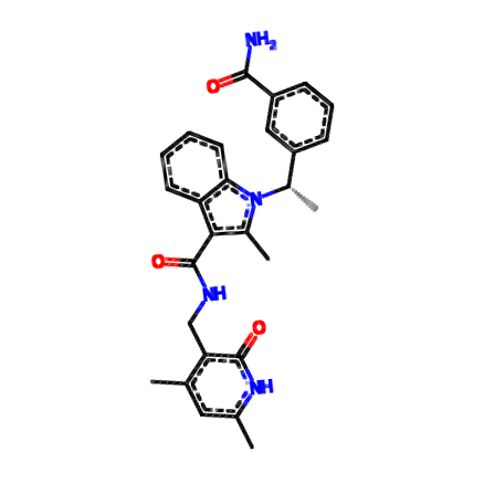 Cc1cc(C)c(CNC(=O)c2c(C)n([C@@H](C)c3cccc(C(N)=O)c3)c3ccccc23)c(=O)[nH]1